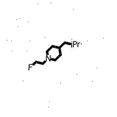 C[C](C)CC1CCN(CCF)CC1